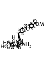 COC(=O)c1ccc(OC(=O)N2CCC(CC#Cc3nc(N)c4ncn([C@@H]5O[C@H](CO)C(O)[C@@H]5O)c4n3)CC2)cc1